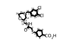 O=C(CSC1=CCC(C(=O)O)C=C1)NC[C@H]1CN(Cc2ccc(Cl)c(Cl)c2)CCO1